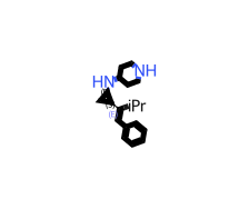 CC(C)/C(=C\c1ccccc1)[C@@H]1C[C@H]1NC1CCNCC1